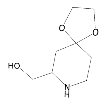 OCC1CC2(CCN1)OCCO2